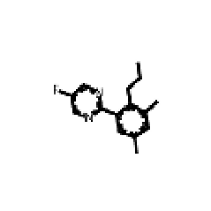 CCCc1c(C)cc(C)cc1-c1ncc(F)cn1